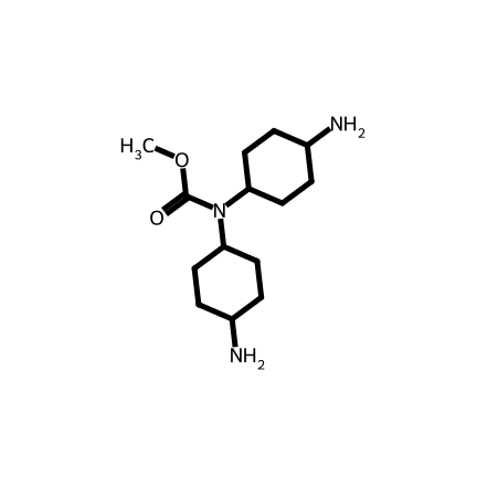 COC(=O)N(C1CCC(N)CC1)C1CCC(N)CC1